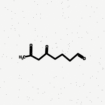 CC(=O)CC(=O)CCCC=O